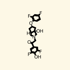 O=C(CN1C[C@@H]2C[C@@H](Oc3ccc(F)cc3F)C[C@]2(O)C1)c1cc(F)c(O)c(F)c1